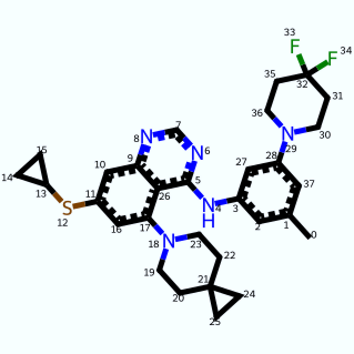 Cc1cc(Nc2ncnc3cc(SC4CC4)cc(N4CCC5(CC4)CC5)c23)cc(N2CCC(F)(F)CC2)c1